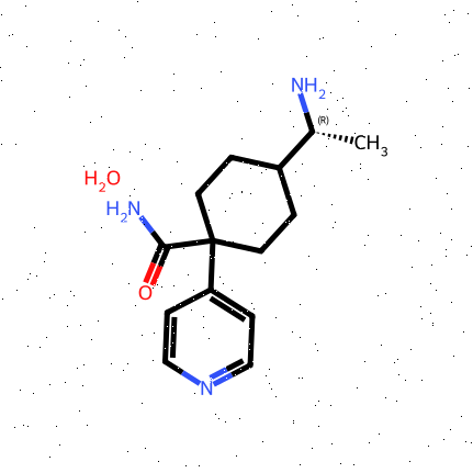 C[C@@H](N)C1CCC(C(N)=O)(c2ccncc2)CC1.O